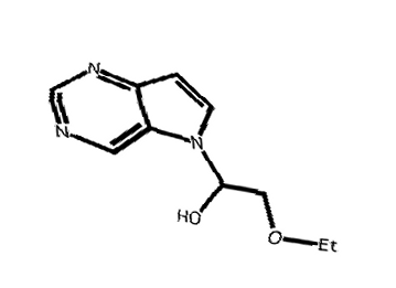 CCOCC(O)n1ccc2ncncc21